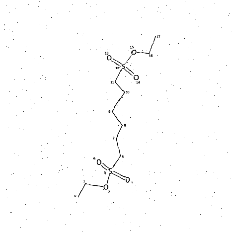 CCOS(=O)(=O)CCCCCCS(=O)(=O)OCC